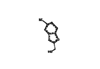 N#Cc1ccc2oc(CO)cc2c1